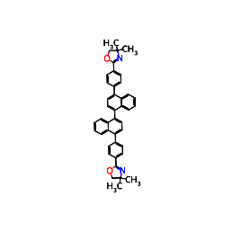 CC1(C)COC(c2ccc(-c3ccc(-c4ccc(-c5ccc(C6=NC(C)(C)CO6)cc5)c5ccccc45)c4ccccc34)cc2)=N1